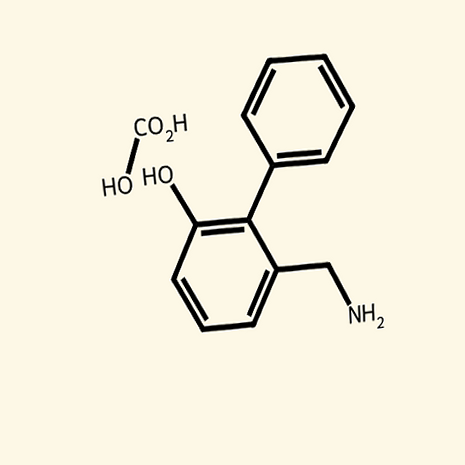 NCc1cccc(O)c1-c1ccccc1.O=C(O)O